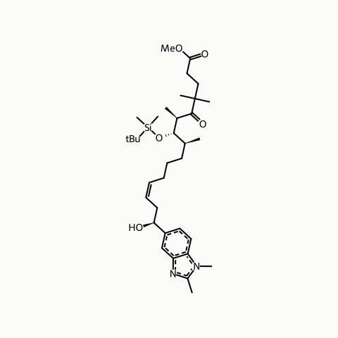 COC(=O)CCC(C)(C)C(=O)[C@H](C)[C@@H](O[Si](C)(C)C(C)(C)C)[C@@H](C)CCC/C=C\C[C@H](O)c1ccc2c(c1)nc(C)n2C